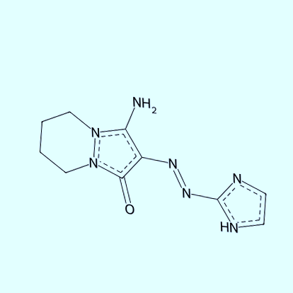 Nc1c(/N=N/c2ncc[nH]2)c(=O)n2n1CCCC2